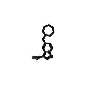 O=C(O)c1cnn2ccc(CC3CCCCCC3)cc12